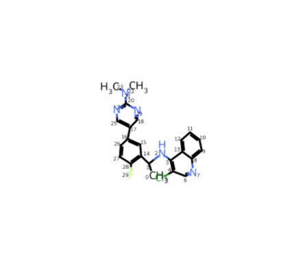 CC(Nc1c(Cl)cnc2ccccc12)c1cc(-c2cnc(N(C)C)nc2)ccc1F